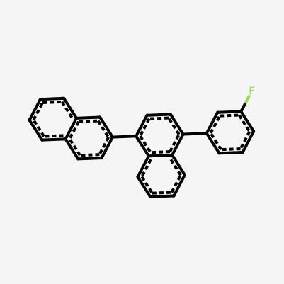 Fc1cccc(-c2ccc(-c3ccc4ccccc4c3)c3ccccc23)c1